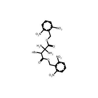 CCCCC(C(=O)OCc1c([N+](=O)[O-])cccc1[N+](=O)[O-])C(N)(N)C(=O)OCc1c([N+](=O)[O-])cccc1[N+](=O)[O-]